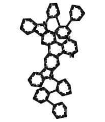 c1ccc(-c2ccccc2-c2ccccc2-n2c3ccccc3c3cc4c5cc6c7ccccc7n(-c7ccccc7-c7ccccc7-c7ccccc7)c6cc5c5nccnc5c4cc32)cc1